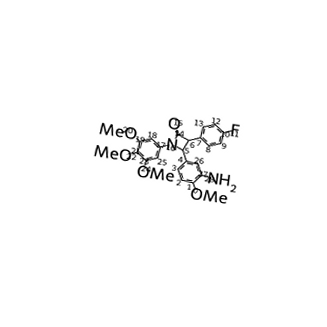 COc1ccc(C2C(c3ccc(F)cc3)C(=O)N2c2cc(OC)c(OC)c(OC)c2)cc1N